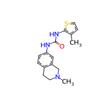 Cc1ccsc1NC(=O)Nc1ccc2c(c1)CN(C)CC2